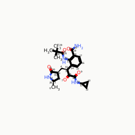 C[C@@H]1C[C@H](C[C@H](C(=O)C(=O)NC2CC2)c2cccc(C(N)=O)c2NC(=O)C(C)(C)C(F)(F)F)C(=O)N1